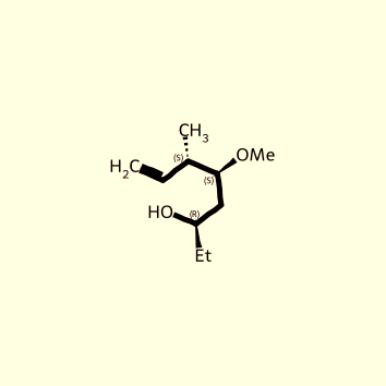 C=C[C@H](C)[C@H](C[C@H](O)CC)OC